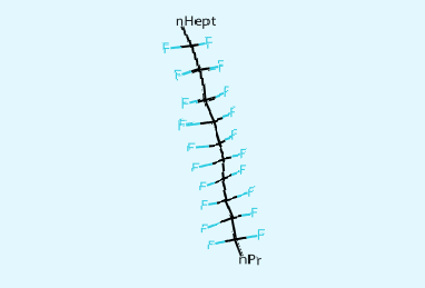 CCCCCCCC(F)(F)C(F)(F)C(F)(F)C(F)(F)C(F)(F)C(F)(F)C(F)(F)C(F)(F)C(F)(F)C(F)(F)CCC